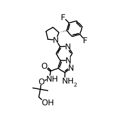 CC(C)(CO)ONC(=O)c1c(N)nn2cnc(N3CCC[C@@H]3c3cc(F)ccc3F)cc12